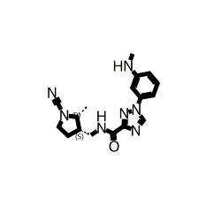 CNc1cccc(-n2cnc(C(=O)NC[C@@H]3CCN(C#N)[C@@H]3C)n2)c1